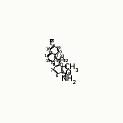 Cc1c(C(N)=O)cccc1C1(c2cccc3cc(F)ccc23)CC1